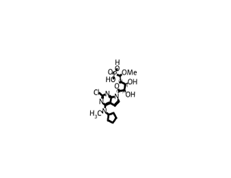 COC([C@@H]1O[C@@H](n2ccc3c(N(C)C4CCCC4)nc(Cl)nc32)[C@H](O)[C@@H]1O)P(=O)(O)O